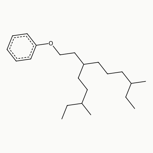 CCC(C)CCCC(CCOc1ccccc1)CCC(C)CC